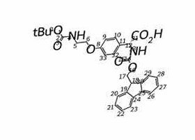 CC(C)(C)OC(=O)NCCOc1ccc([C@@H](NC(=O)OCC2c3ccccc3-c3ccccc32)C(=O)O)cc1